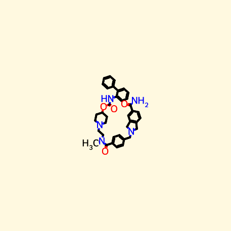 CN(CCN1CCC(OC(=O)Nc2ccccc2-c2ccccc2)CC1)C(=O)c1ccc(CN2Cc3ccc(C(N)=O)cc3C2)cc1